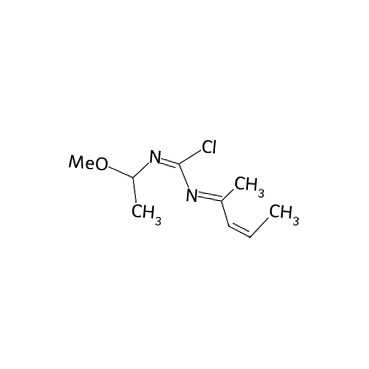 C\C=C/C(C)=N/C(Cl)=N\C(C)OC